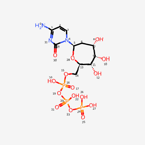 Nc1ccn([C@H]2C[C@H](O)[C@H](O)[C@H](O)[C@@H](COP(=O)(O)OP(=O)(O)OP(=O)(O)O)O2)c(=O)n1